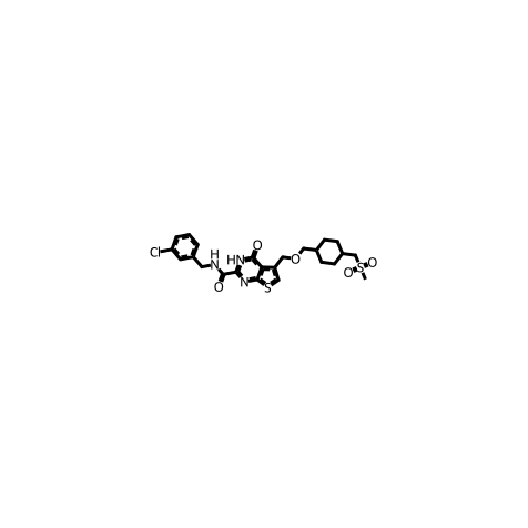 CS(=O)(=O)CC1CCC(COCc2csc3nc(C(=O)NCc4cccc(Cl)c4)[nH]c(=O)c23)CC1